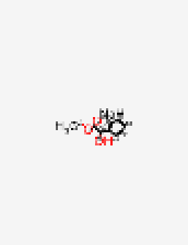 CCOC(=O)C(O)c1ccccc1.[NaH]